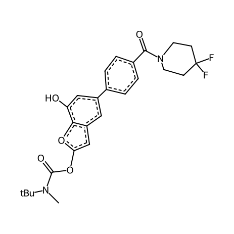 CN(C(=O)Oc1cc2cc(-c3ccc(C(=O)N4CCC(F)(F)CC4)cc3)cc(O)c2o1)C(C)(C)C